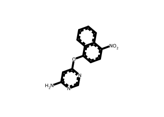 Nc1cc(Oc2ccc([N+](=O)[O-])c3ccccc23)ncn1